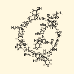 CCCC[C@H]1C(=O)N(C)[C@@H](CCCC)C(=O)N[C@H]2CCC(=O)NCCCC[C@H](NC(=O)[C@H](Cc3c[nH]c4ccccc34)NC(=O)[C@@H]3C[C@@H](O)CN3C(=O)[C@H](CC(C)C)NC(=O)[C@H](Cc3cnc[nH]3)NC(=O)[C@@H]3CCCN3C(=O)[C@H](CC(N)=O)NC(=O)[C@@H](C)NC(=O)[C@H](Cc3ccc(O)cc3)NC(=O)CSC[C@@H](C(=O)NCC(N)=O)NC2=O)C(=O)N[C@@H](Cc2c[nH]c3ccccc23)C(=O)N1C